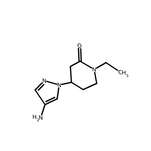 CCN1CCC(n2cc(N)cn2)CC1=O